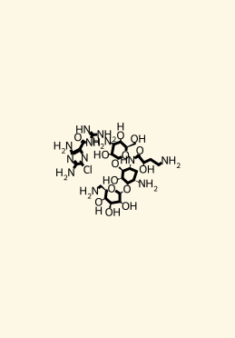 N=C(N)NC(=O)c1nc(Cl)c(N)nc1N.NCC[C@H](O)C(=O)N[C@@H]1C[C@H](N)[C@@H](O[C@H]2O[C@H](CN)[C@@H](O)[C@H](O)[C@H]2O)[C@H](O)[C@H]1O[C@H]1O[C@H](CO)[C@@H](O)[C@H](N)[C@H]1O